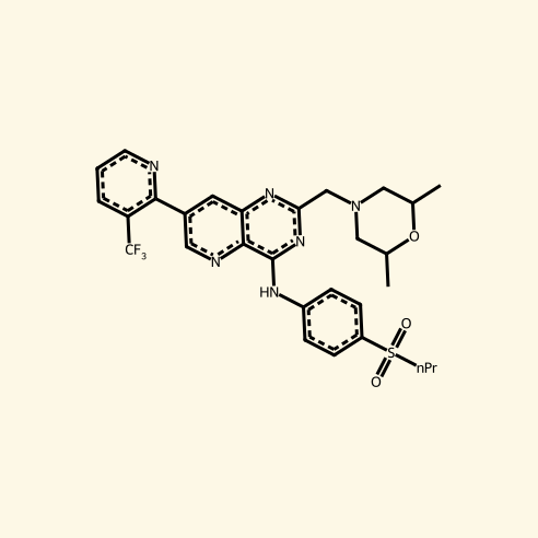 CCCS(=O)(=O)c1ccc(Nc2nc(CN3CC(C)OC(C)C3)nc3cc(-c4ncccc4C(F)(F)F)cnc23)cc1